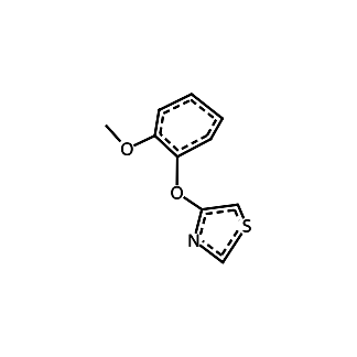 COc1ccccc1Oc1cscn1